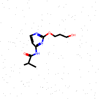 CC(C)C(=O)Nc1ccnc(OCCCO)n1